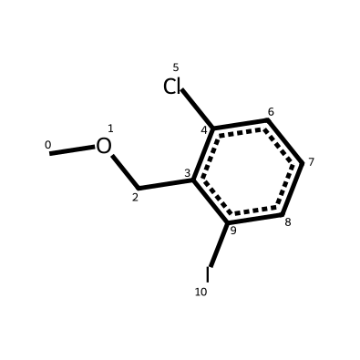 COCc1c(Cl)cccc1I